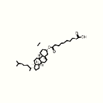 CC.CC(C)CCCC(C)[C@H]1CC[C@H]2[C@@H]3CC=C4C[C@@H](OC(=O)CCCCCCCCC(=O)O)CC[C@]4(C)[C@H]3CC[C@]12C